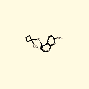 CCOC(=O)C1(Sc2ccnc3cc(Br)ccc23)CCC1